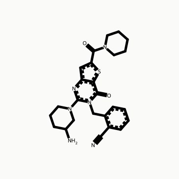 N#Cc1ccccc1Cn1c(N2CCCC(N)C2)nc2cc(C(=O)N3CCCCC3)sc2c1=O